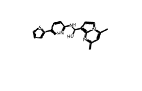 C=C(/C=C\C(=N)NC(O)c1ccn2c(C)cc(C)nc12)c1cccs1